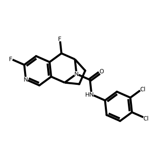 O=C(Nc1ccc(Cl)c(Cl)c1)N1C2CCC1C(F)c1cc(F)ncc12